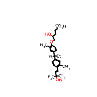 CCC(CC)(c1ccc(/C=C/C(O)(C(F)(F)F)C(F)(F)F)c(C)c1)c1ccc(OC[C@@H](O)CCCC(=O)O)c(C)c1